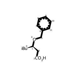 CC[C@H](C)[C@H](CC(=O)O)OCc1ccccc1